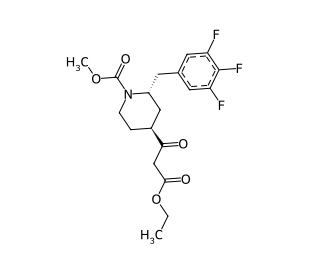 CCOC(=O)CC(=O)[C@H]1CCN(C(=O)OC)[C@H](Cc2cc(F)c(F)c(F)c2)C1